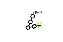 CCCCCC1CCC(C2CCC(c3ccccc3-c3ccc(C(F)(F)C(F)F)cc3)CC2)CC1